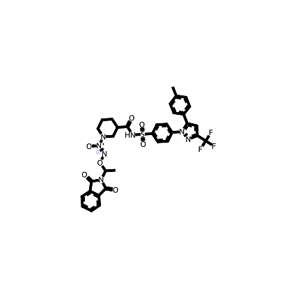 Cc1ccc(-c2cc(C(F)(F)F)nn2-c2ccc(S(=O)(=O)NC(=O)C3CCCN(/[N+]([O-])=N/OC(C)N4C(=O)c5ccccc5C4=O)C3)cc2)cc1